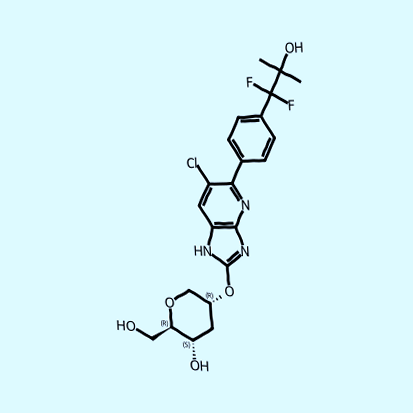 CC(C)(O)C(F)(F)c1ccc(-c2nc3nc(O[C@H]4CO[C@H](CO)[C@@H](O)C4)[nH]c3cc2Cl)cc1